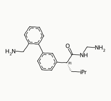 CC(C)C[C@@H](C(=O)NCN)c1cccc(-c2ccccc2CN)c1